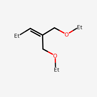 CCC=C(COCC)COCC